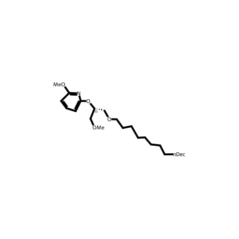 CCCCCCCCCCCCCCCCCCOC[C@H](COC)Oc1cccc(OC)n1